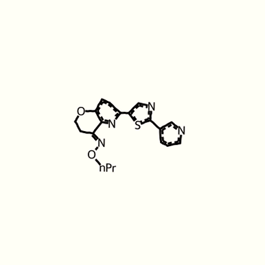 CCCO/N=C1\CCOc2ccc(-c3cnc(-c4cccnc4)s3)nc21